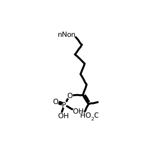 CCCCCCCCCCCCCCC(OP(=O)(O)O)=C(C)C(=O)O